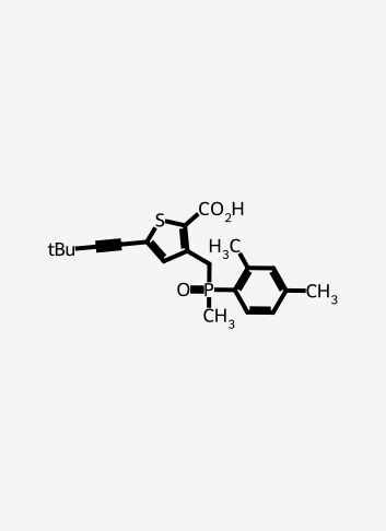 Cc1ccc(P(C)(=O)Cc2cc(C#CC(C)(C)C)sc2C(=O)O)c(C)c1